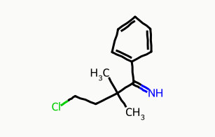 CC(C)(CCCl)C(=N)c1ccccc1